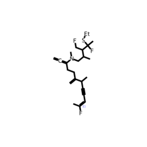 C=C=C(CCC(=C)C(C)C#C/C=C(\C)F)N(C)CC(C)C(CF)C(C)(F)SCC